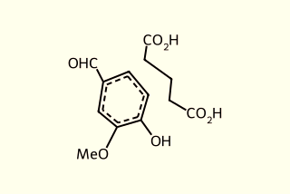 COc1cc(C=O)ccc1O.O=C(O)CCCC(=O)O